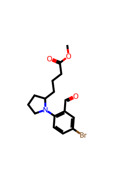 COC(=O)CCCC1CCCN1c1ccc(Br)cc1C=O